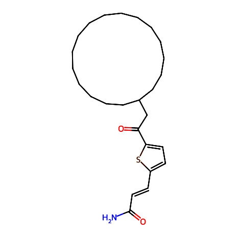 NC(=O)C=Cc1ccc(C(=O)CC2CCCCCCCCCCCCCCCC2)s1